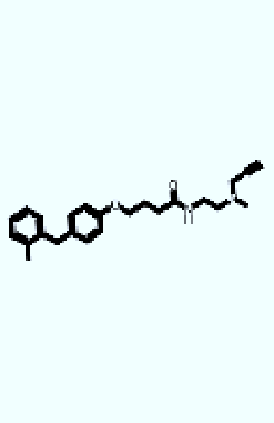 C#CCN(C)CCNC(=O)CCCOc1ccc(Cc2ccccc2C)cc1